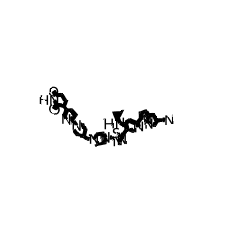 N#Cc1cnn2c(-c3cc(NC4CC4)c(-c4nnc(N5CCN(CC6CCN(c7ccc(C8CCC(=O)NC8=O)cn7)CC6)CC5)s4)cn3)ccc2c1